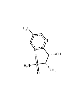 Cc1cnc([C@H](O)[C@H](C)S(N)(=O)=O)nc1